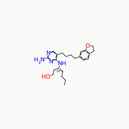 CCCC[C@@H](CCO)Nc1nc(N)ncc1CCCCc1ccc2c(c1)OCC2